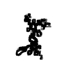 CCOCCN1C(=O)C(=C(SCC)SCC)C(=O)N(C2CCC3(CC2)CC2(C3)C(=O)N(C)C(=O)N2CC2COC2)C1=O